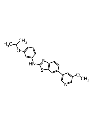 COc1cncc(-c2ccc3nc(Nc4cccc(OC(C)C)c4)sc3c2)c1